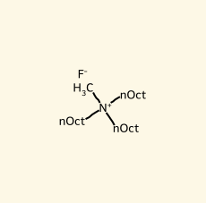 CCCCCCCC[N+](C)(CCCCCCCC)CCCCCCCC.[F-]